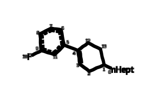 CCCCCCCC1CC=C(c2cccc(F)c2)CC1